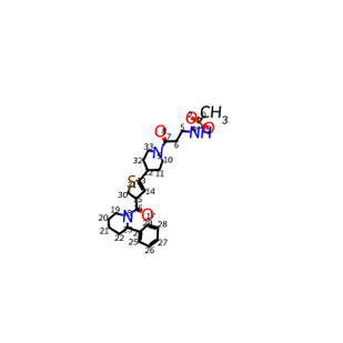 CS(=O)(=O)NCCC(=O)N1CCC(C2=CC(C(=O)N3CCCCC3c3ccccc3)CS2)CC1